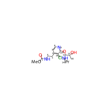 COC(=O)NCCc1ccnc(OC(NC(C)C)C(C)O)c1Cl